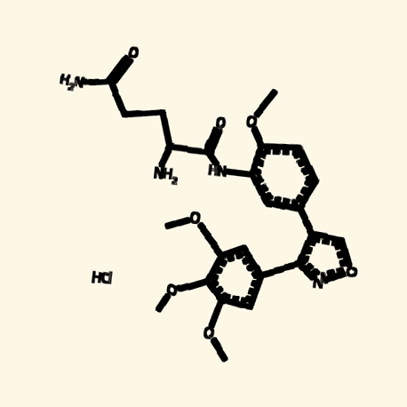 COc1ccc(-c2conc2-c2cc(OC)c(OC)c(OC)c2)cc1NC(=O)C(N)CCC(N)=O.Cl